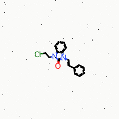 O=c1n(C=Cc2ccccc2)c2ccccc2n1CCCl